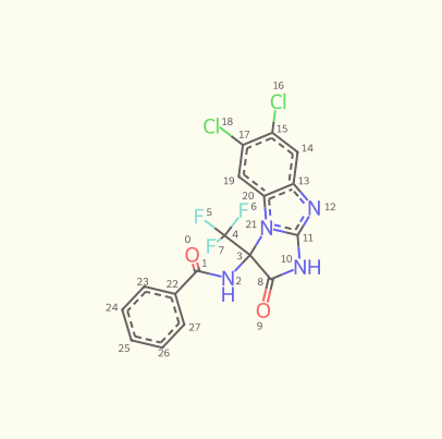 O=C(NC1(C(F)(F)F)C(=O)Nc2nc3cc(Cl)c(Cl)cc3n21)c1ccccc1